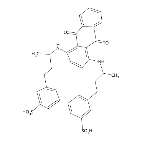 CC(CCc1cccc(S(=O)(=O)O)c1)Nc1ccc(NC(C)CCc2cccc(S(=O)(=O)O)c2)c2c1C(=O)c1ccccc1C2=O